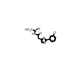 CC(C)[C@@H](NC(=O)Cc1csc(-c2cccc(Cl)c2)n1)C(=O)O